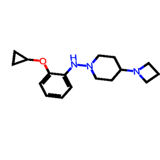 c1ccc(OC2CC2)c(NN2CCC(N3CCC3)CC2)c1